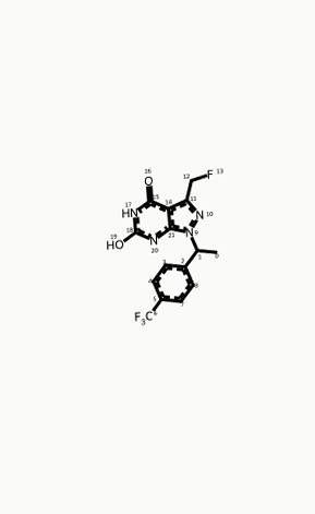 CC(c1ccc(C(F)(F)F)cc1)n1nc(CF)c2c(=O)[nH]c(O)nc21